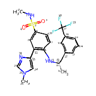 CNS(=O)(=O)c1ccc(N[C@@H](C)c2cccc(C(F)(F)F)c2)c(-c2cn(C)cn2)c1